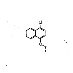 C[CH]Oc1ccc(Cl)c2ccccc12